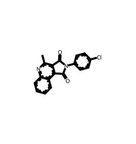 Cc1nc2ccccc2c2c1C(=O)N(c1ccc(Cl)cc1)C2=O